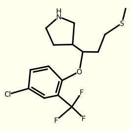 CSCCC(Oc1ccc(Cl)cc1C(F)(F)F)C1CCNC1